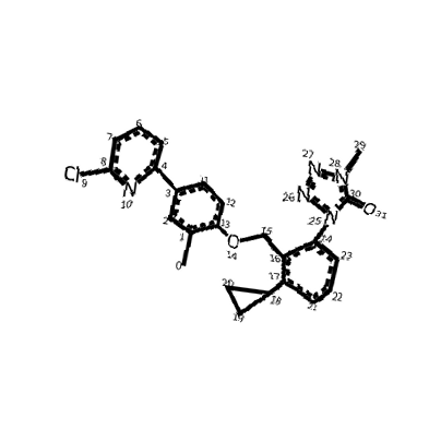 Cc1cc(-c2cccc(Cl)n2)ccc1OCc1c(C2CC2)cccc1-n1nnn(C)c1=O